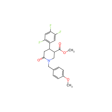 COC(=O)C1CN(Cc2ccc(OC)cc2)C(=O)CC1c1cc(F)c(F)cc1F